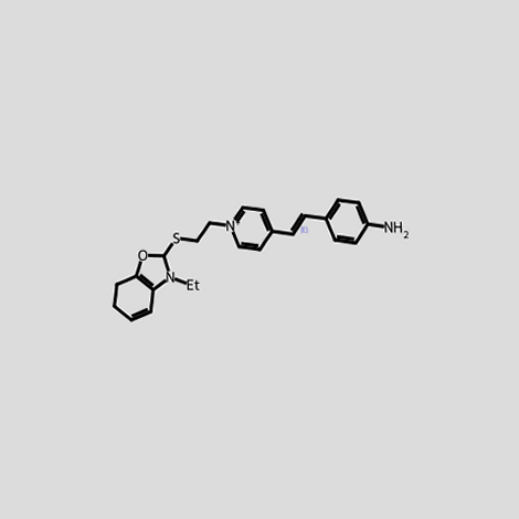 CCN1C2=C(CCC=C2)OC1SCC[n+]1ccc(/C=C/c2ccc(N)cc2)cc1